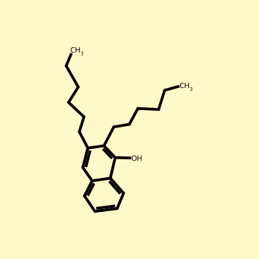 CCCCCCc1cc2ccccc2c(O)c1CCCCCC